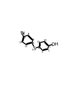 Oc1ccc(Sc2ccc(Br)cc2)cc1